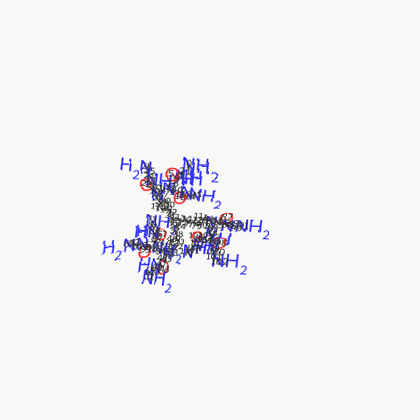 NCCNC(=O)CCN(CCC(=O)NCN)CCN(CCC(=O)NCCN)Cc1ccc(/C=C/c2cc(/C=C/c3ccc(CN(CCC(=O)NCCN)CCN(CCC(=O)NCCN)CCC(=O)NCCN)cc3)cc(/C=C/c3ccc(CN(CCC(=O)NCCN)CCN(CCC(=O)NCCN)CCC(=O)NCCN)cc3)c2)cc1